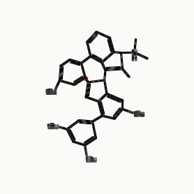 CC1=Cc2c(-c3cc(C(C)(C)C)cc(C(C)(C)C)c3)cc(C(C)(C)C)cc2C1C1=C(C)C([SiH](C)C)c2cccc(-c3ccc(C(C)(C)C)cc3)c21